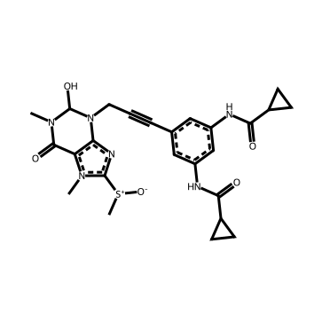 CN1C(=O)c2c(nc([S+](C)[O-])n2C)N(CC#Cc2cc(NC(=O)C3CC3)cc(NC(=O)C3CC3)c2)C1O